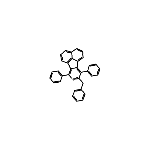 c1ccc(Cc2nc(-c3ccccc3)c3c(c2-c2ccccc2)-c2cccc4cccc-3c24)cc1